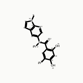 CC(C)c1cc(C(=O)N(c2cnc3c(ccn3C)c2)C(C)C)c(O)cc1O